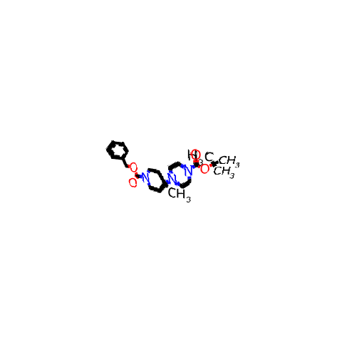 CC(C)(C)OC(=O)N1CCN(C2(C)CCN(C(=O)OCc3ccccc3)CC2)CC1